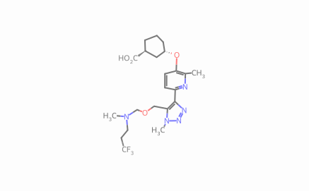 Cc1nc(-c2nnn(C)c2COCN(C)CCC(F)(F)F)ccc1O[C@H]1CCC[C@H](C(=O)O)C1